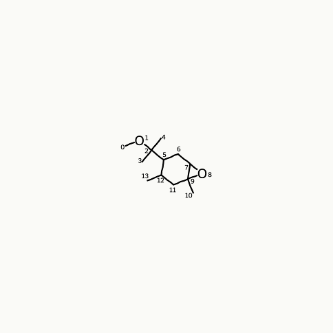 COC(C)(C)C1CC2OC2(C)CC1C